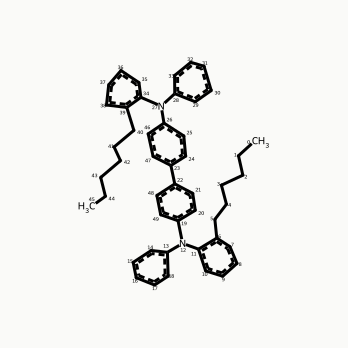 CCCCCCc1ccccc1N(c1ccccc1)c1ccc(-c2ccc(N(c3ccccc3)c3ccccc3CCCCCC)cc2)cc1